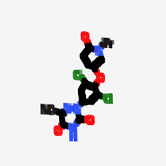 CC(C)n1cc(Oc2c(Cl)cc(-n3nc(C#N)c(=O)[nH]c3=O)cc2Cl)ccc1=O